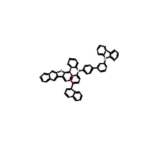 c1cc(-c2ccc(N(c3ccc(-c4cccc5ccccc45)cc3)c3ccccc3-c3cccc4c3oc3cc5ccccc5cc34)cc2)cc(-n2c3ccccc3c3ccccc32)c1